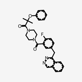 CC(C)(Oc1ccccc1)C(=O)N1CCN(C(=O)c2cc(Cc3nncc4ccccc34)ccc2F)CC1